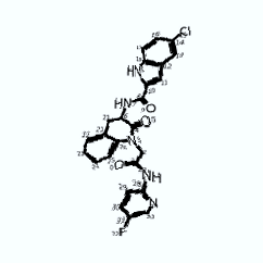 O=C(CN1C(=O)C(NC(=O)c2cc3cc(Cl)ccc3[nH]2)Cc2ccccc21)Nc1ccc(F)cn1